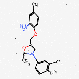 N#Cc1ccc(OCC2CN(c3ccc(C#N)c(C(F)(F)F)c3)C(C(F)(F)F)O2)c(N)c1